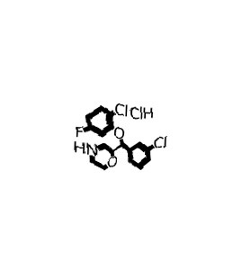 Cl.Fc1ccc(Cl)c(OC(c2cccc(Cl)c2)[C@@H]2CNCCO2)c1